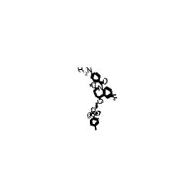 COc1cc(N)ccc1C(=O)N1CCCC(OCCOS(=O)(=O)c2ccc(C)cc2)c2cc(F)ccc21